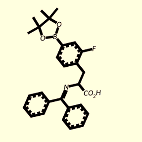 CC1(C)OB(c2ccc(CC(N=C(c3ccccc3)c3ccccc3)C(=O)O)c(F)c2)OC1(C)C